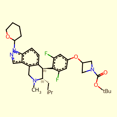 CC(C)C[C@H]1[C@H](c2c(F)cc(OC3CN(C(=O)OC(C)(C)C)C3)cc2F)c2ccc3c(cnn3C3CCCCO3)c2CN1C